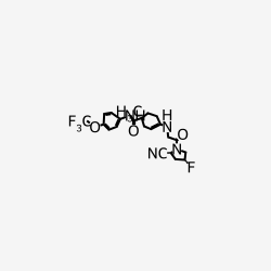 CC1(C(=O)Nc2ccc(OC(F)(F)F)cc2)CC=C(NCC(=O)N2C[C@@H](F)C[C@H]2C#N)CC1